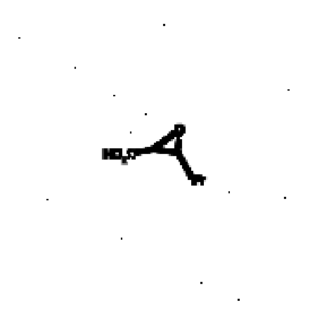 CC(C)C1OC1C(=O)O